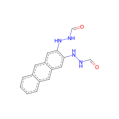 O=CNNc1cc2cc3ccccc3cc2cc1NNC=O